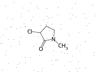 CN1C[CH]C(Cl)C1=O